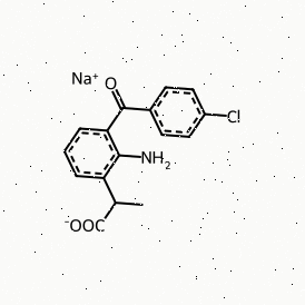 CC(C(=O)[O-])c1cccc(C(=O)c2ccc(Cl)cc2)c1N.[Na+]